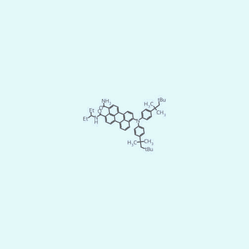 CCC(CC)NC(=O)c1ccc2c3cccc4c(N(c5ccc(C(C)(C)CC(C)(C)C)cc5)c5ccc(C(C)(C)CC(C)(C)C)cc5)ccc(c5ccc(C(N)=O)c1c52)c43